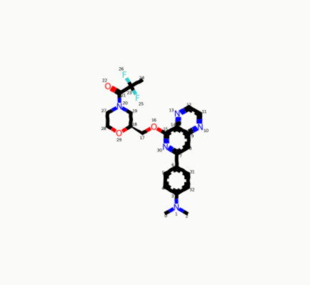 CN(C)c1ccc(-c2cc3nccnc3c(OC[C@@H]3CN(C(=O)C(C)(F)F)CCO3)n2)cc1